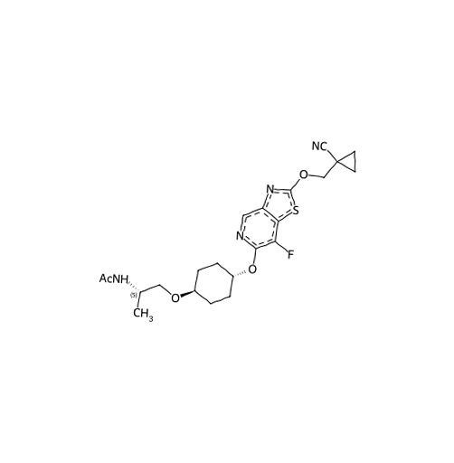 CC(=O)N[C@@H](C)CO[C@H]1CC[C@H](Oc2ncc3nc(OCC4(C#N)CC4)sc3c2F)CC1